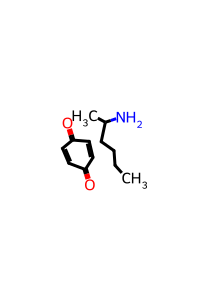 CCCCC(C)N.O=C1C=CC(=O)C=C1